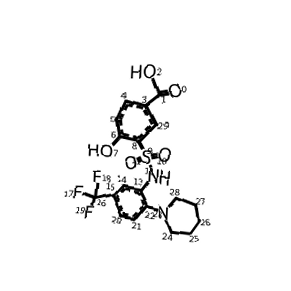 O=C(O)c1ccc(O)c(S(=O)(=O)Nc2cc(C(F)(F)F)ccc2N2CCCCC2)c1